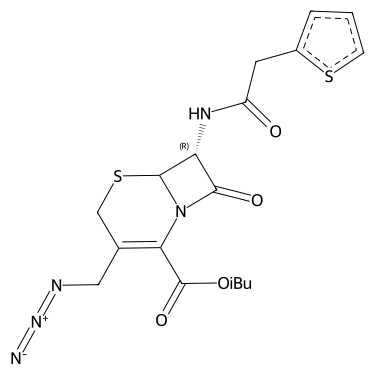 CC(C)COC(=O)C1=C(CN=[N+]=[N-])CSC2[C@H](NC(=O)Cc3cccs3)C(=O)N12